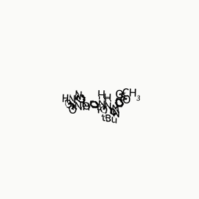 CC(C)(C)c1cc(NC(=O)Nc2ccc(Oc3ccnc4[nH]c(=O)c(=O)[nH]c34)cc2F)n(-c2ccc(S(C)(=O)=O)cc2)n1